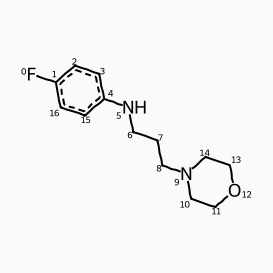 Fc1ccc(NCCCN2CCOCC2)cc1